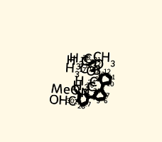 COc1nc(-c2cccc(-c3cccc(B4OC(C)(C)C(C)(C)O4)c3C)c2C)ccc1C=O